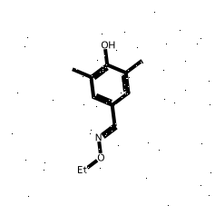 CCO/N=C/c1cc(C)c(O)c(C)c1